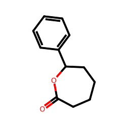 O=C1CCCCC(c2ccccc2)O1